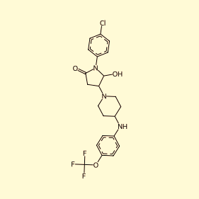 O=C1CC(N2CCC(Nc3ccc(OC(F)(F)F)cc3)CC2)C(O)N1c1ccc(Cl)cc1